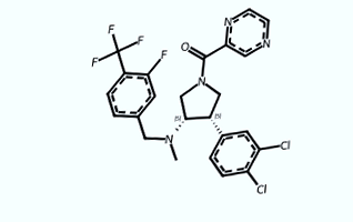 CN(Cc1ccc(C(F)(F)F)c(F)c1)[C@@H]1CN(C(=O)c2cnccn2)C[C@@H]1c1ccc(Cl)c(Cl)c1